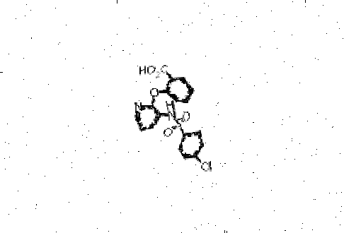 O=C(O)c1ccccc1Oc1ncccc1NS(=O)(=O)c1ccc(Cl)cc1